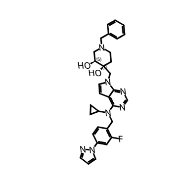 O[C@H]1CN(Cc2ccccc2)CC[C@]1(O)Cn1ccc2c(N(Cc3ccc(-n4cccn4)cc3F)C3CC3)ncnc21